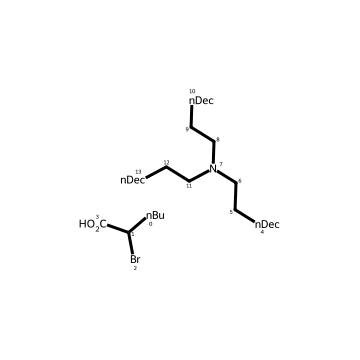 CCCCC(Br)C(=O)O.CCCCCCCCCCCCN(CCCCCCCCCCCC)CCCCCCCCCCCC